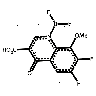 COc1c(F)c(F)cc2c(=O)c(C(=O)O)cn(B(F)F)c12